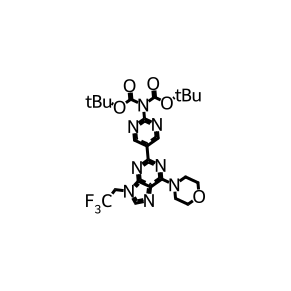 CC(C)(C)OC(=O)N(C(=O)OC(C)(C)C)c1ncc(-c2nc(N3CCOCC3)c3ncn(CC(F)(F)F)c3n2)cn1